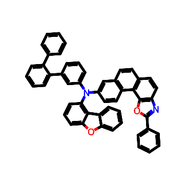 c1ccc(-c2nc3ccc4ccc5cc(N(c6cccc(-c7ccccc7-c7ccccc7)c6)c6cccc7oc8ccccc8c67)ccc5c4c3o2)cc1